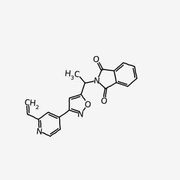 C=Cc1cc(-c2cc(C(C)N3C(=O)c4ccccc4C3=O)on2)ccn1